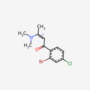 C/C(=C/C(=O)c1ccc(Cl)cc1Br)N(C)C